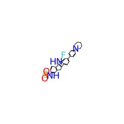 CS(=O)(=O)Nc1ccc2c(c1)Cc1c-2[nH]c2c(F)c(-c3ccc(N4CCCCC4)cc3)ccc12